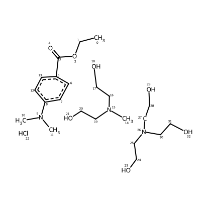 CCOC(=O)c1ccc(N(C)C)cc1.CN(CCO)CCO.Cl.OCCN(CCO)CCO